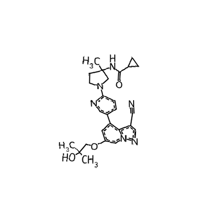 CC(C)(O)COc1cc(-c2ccc(N3CCC(C)(NC(=O)C4CC4)C3)nc2)c2c(C#N)cnn2c1